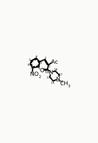 CC(=O)C(=Cc1cccc([N+](=O)[O-])c1)C(=O)N1CCN(C)CC1